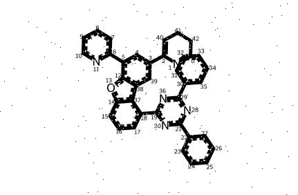 C1=NC(c2cc(-c3ccccn3)c3oc4cccc(-c5nc(-c6ccccc6)nc(-c6ccccc6)n5)c4c3c2)=CCC1